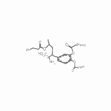 CCCC(C)C(=O)Oc1ccc(C(CC(C)OC(=O)CCC(C)C)[C@H](N)C(=O)O)cc1OC(=O)C(C)CCC